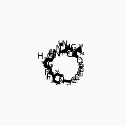 C[C@H]1Nc2ncnc3nc(c(C4(C#N)CC4)cc23)OCCCCCCN2CCC(CC2)C(F)(F)c2cccc1c2